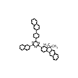 CC1(C)c2cc(-c3nc(-c4ccc(-c5ccc6ccccc6c5)cc4)nc(-c4ccc5ccccc5c4)n3)ccc2-c2cc3ccccc3cc21